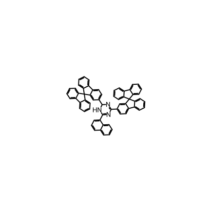 c1ccc2c(c1)-c1ccccc1C21c2ccccc2-c2ccc(C3=NC(c4ccc5c(c4)C4(c6ccccc6-c6ccccc64)c4ccccc4-5)NC(c4cccc5ccccc45)=N3)cc21